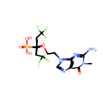 Cn1c(N)nc2c(ncn2CCOC(CC(F)(F)F)(CC(F)(F)F)P(=O)(O)O)c1=O